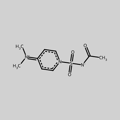 CC(=O)[N-]S(=O)(=O)n1ccc(=[N+](C)C)cc1